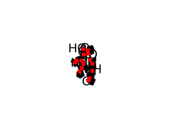 CCN(CC)c1ccc(/N=N/c2cc3c(s2)C(=O)CC(C)(C)C3)c(Nc2nc(Nc3cc(N(CC)CC)ccc3/N=N/c3sc4c(c3S(=O)(=O)O)CC(C)(C)CC4=O)nc(SC3CCCCC3)n2)c1